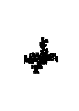 CC(C)(C)C[C@]1(c2ccc(-c3cnn(C(F)F)c3)cc2)NC(=N)N([C@H](COC(=O)NC2CC2)c2ccc(Cl)c(-c3ncn(C(F)F)n3)c2)C1=O